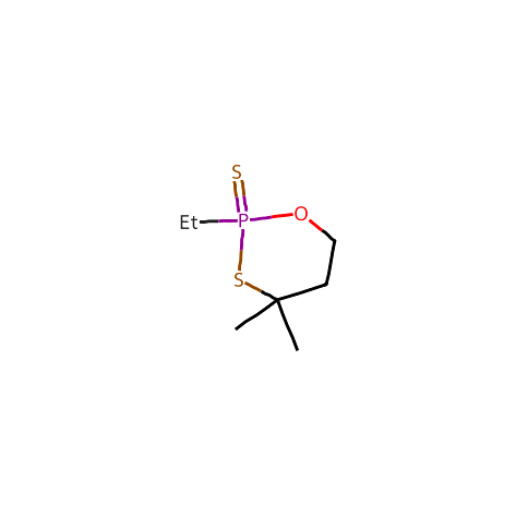 CCP1(=S)OCCC(C)(C)S1